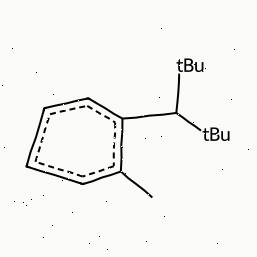 Cc1ccccc1C(C(C)(C)C)C(C)(C)C